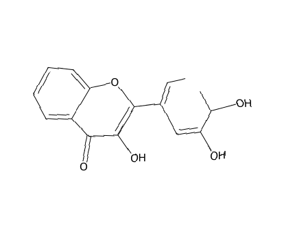 C/C=C(\C=C(\O)C(C)O)c1oc2ccccc2c(=O)c1O